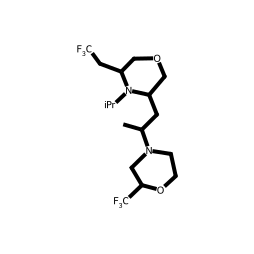 CC(CC1COCC(CC(F)(F)F)N1C(C)C)N1CCOC(C(F)(F)F)C1